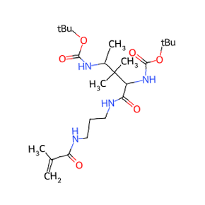 C=C(C)C(=O)NCCCNC(=O)C(NC(=O)OC(C)(C)C)C(C)(C)C(C)NC(=O)OC(C)(C)C